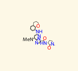 CNc1cc(Nc2cccc3c2OCCC3)nn2c(C(=O)N[C@@H]3CCN(C)C3=O)cnc12